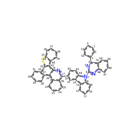 c1ccc(-c2nc(-n3c4ccccc4c4cc(-c5nc6c(c7ccccc57)c5ccccc5c5sc7ccccc7c65)ccc43)nc3ccccc23)cc1